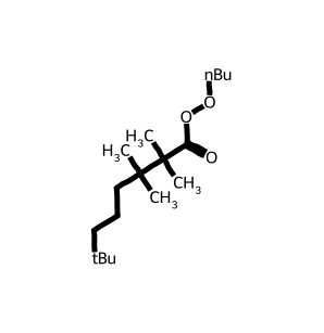 CCCCOOC(=O)C(C)(C)C(C)(C)CCCC(C)(C)C